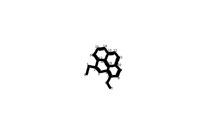 CCc1cc2c(CC)ccc3ccc4cccc1c4c32